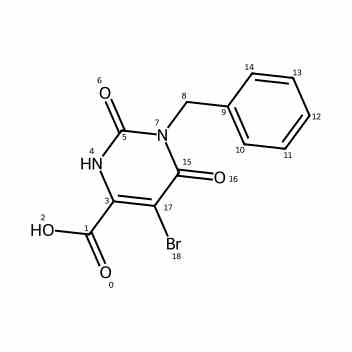 O=C(O)c1[nH]c(=O)n(Cc2ccccc2)c(=O)c1Br